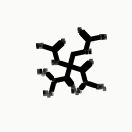 CN(C)C(=S)C(CNC(=S)S)(NC(=S)S)C(=S)N(C)C